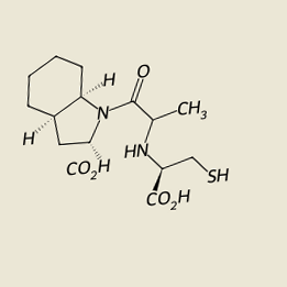 CC(N[C@@H](CS)C(=O)O)C(=O)N1[C@@H]2CCCC[C@@H]2C[C@H]1C(=O)O